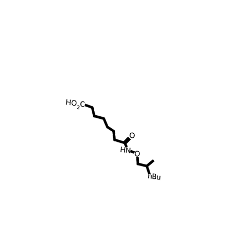 CCCCC(C)CONC(=O)CCCCCCC(=O)O